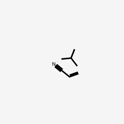 C=CC#N.CC(C)C